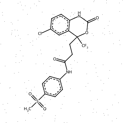 CS(=O)(=O)c1ccc(NC(=O)CCC2(C(F)(F)F)OC(=O)Nc3ccc(Cl)cc32)cc1